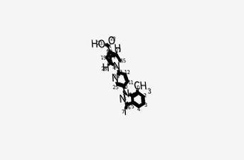 Cc1cccc2c(I)nn(-c3ccc(N4C[C@@H]5C[C@H]4C[C@H]5C(=O)O)nc3)c12